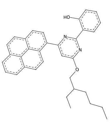 CCCCC(CC)COc1cc(-c2ccc3ccc4cccc5ccc2c3c45)nc(-c2ccccc2O)n1